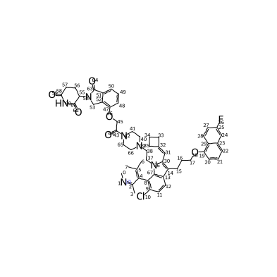 C/N=C(/C)C(=C(C)C)c1c(Cl)ccc2c(CCCOc3cccc4cc(F)ccc34)c(C=C3CCC3)n(CCN3CCN(C(=O)COc4cccc5c4CN(C4CCC(=O)NC4=O)C5=O)CC3)c12